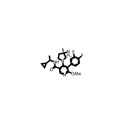 COc1ncc(C(=O)NC(C)C2CC2)c(N2CC[C@](C)(N)C2)c1-c1ccc(F)c(F)c1